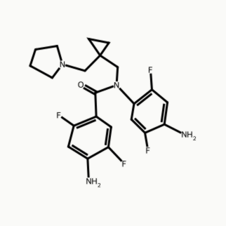 Nc1cc(F)c(C(=O)N(CC2(CN3CCCC3)CC2)c2cc(F)c(N)cc2F)cc1F